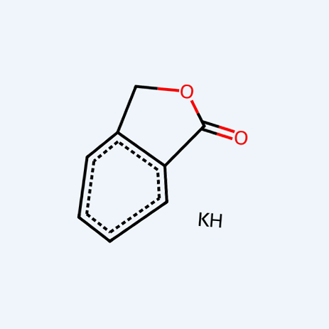 O=C1OCc2ccccc21.[KH]